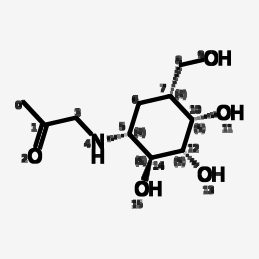 CC(=O)CN[C@@H]1C[C@H](CO)[C@H](O)[C@H](O)[C@H]1O